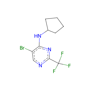 FC(F)(F)c1ncc(Br)c(NC2CCCC2)n1